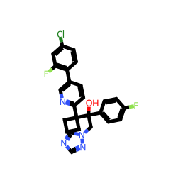 OC(Cn1cncn1)(c1ccc(F)cc1)C1(c2ccc(-c3ccc(Cl)cc3F)cn2)CCC1